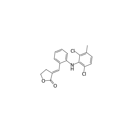 Cc1ccc(Cl)c(Nc2ccccc2/C=C2\CCOC2=O)c1Cl